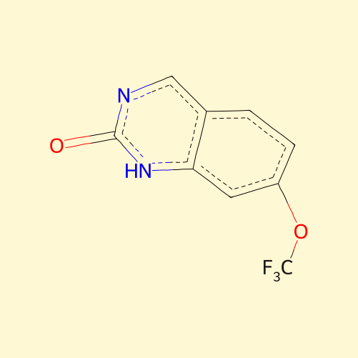 O=c1ncc2ccc(OC(F)(F)F)cc2[nH]1